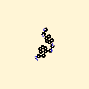 Cn1cnc2ccc(-c3cccc(-c4cc(-c5ccnc(-c6ccnc(-c7cc8ccc9cc(-c%10cc(-c%11ccccn%11)ccn%10)c%10ccccc%10c9c8c8ccccc78)c6)c5)c5ccc6ccc7ccc8ccccc8c7c6c5c4)c3)cc21